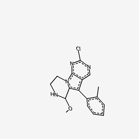 COC1NCCn2c1c(-c1ccccc1C)c1cnc(Cl)nc12